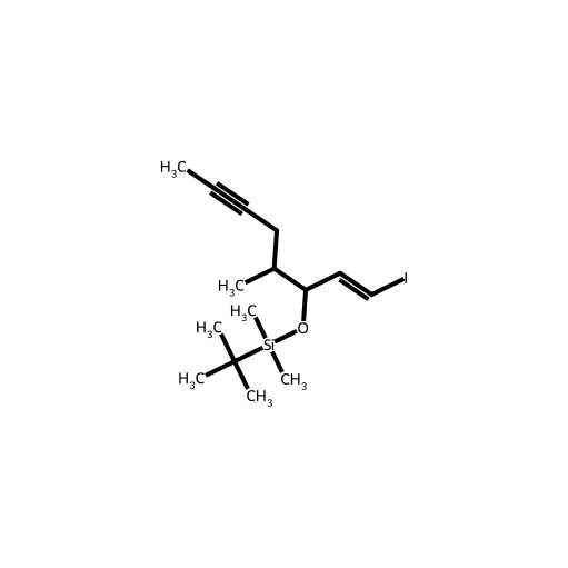 CC#CCC(C)C(/C=C/I)O[Si](C)(C)C(C)(C)C